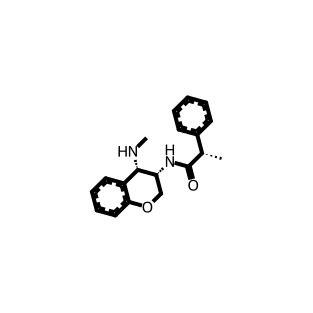 CN[C@H]1c2ccccc2OC[C@H]1NC(=O)[C@@H](C)c1ccccc1